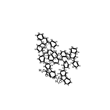 CC1(C)c2ccccc2-c2cc(-c3cccc(N(c4ccc5ccc6c(N(c7cccc(-c8ccc9c(c8)C(C)(C)c8ccccc8-9)c7)c7cccc8c7oc7c(-c9ccccc9)cc9ccccc9c78)ccc7ccc4c5c76)c4cccc5c4oc4c(-c6ccccc6)cc6ccccc6c45)c3)ccc21